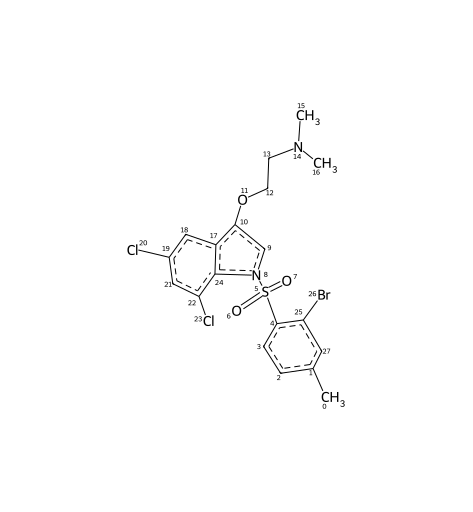 Cc1ccc(S(=O)(=O)n2cc(OCCN(C)C)c3cc(Cl)cc(Cl)c32)c(Br)c1